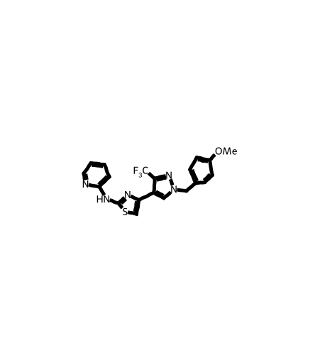 COc1ccc(Cn2cc(-c3csc(Nc4ccccn4)n3)c(C(F)(F)F)n2)cc1